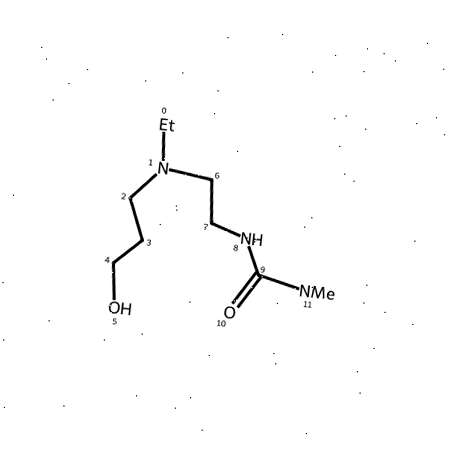 CCN(CCCO)CCNC(=O)NC